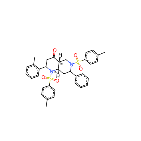 Cc1ccc(S(=O)(=O)N2C[C@H]3C(=O)CC(c4ccccc4C)N(S(=O)(=O)c4ccc(C)cc4)[C@H]3CC2c2ccccc2)cc1